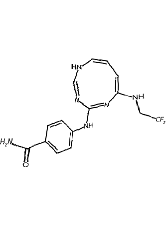 NC(=O)c1ccc(Nc2nc[nH]cccc(NCC(F)(F)F)n2)cc1